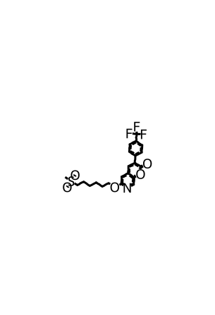 CS(=O)(=O)CCCCCCOc1cc2cc(-c3ccc(C(F)(F)F)cc3)c(=O)oc2cn1